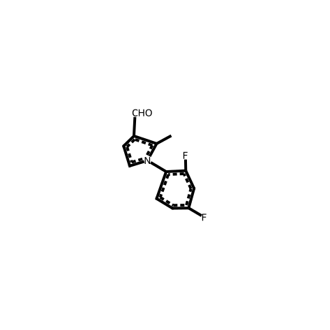 Cc1c(C=O)ccn1-c1ccc(F)cc1F